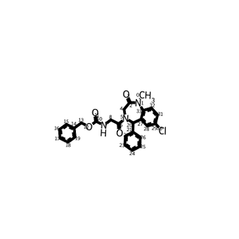 CN1C(=O)CN(C(=O)CNC(=O)OCc2ccccc2)C(c2ccccc2)c2cc(Cl)ccc21